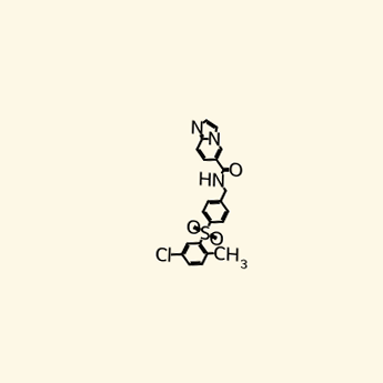 Cc1ccc(Cl)cc1S(=O)(=O)c1ccc(CNC(=O)c2ccc3nccn3c2)cc1